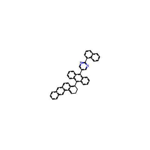 C1=c2c(ccc3cc4ccccc4cc23)=C(c2c3ccccc3c(-c3cnc(-c4cccc5ccccc45)nc3)c3ccccc23)CC1